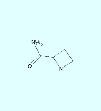 NC(=O)C1CC[N]1